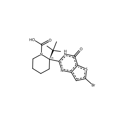 CC(C)(C)[C@@]1(c2nc3cc(Br)sc3c(=O)[nH]2)CCCCN1C(=O)O